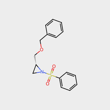 O=S(=O)(c1ccccc1)N1C[C@@H]1COCc1ccccc1